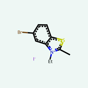 CC[n+]1c(C)sc2ccc(Br)cc21.[I-]